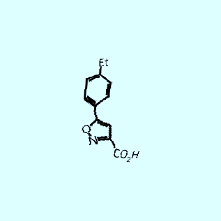 CCc1ccc(-c2cc(C(=O)O)no2)cc1